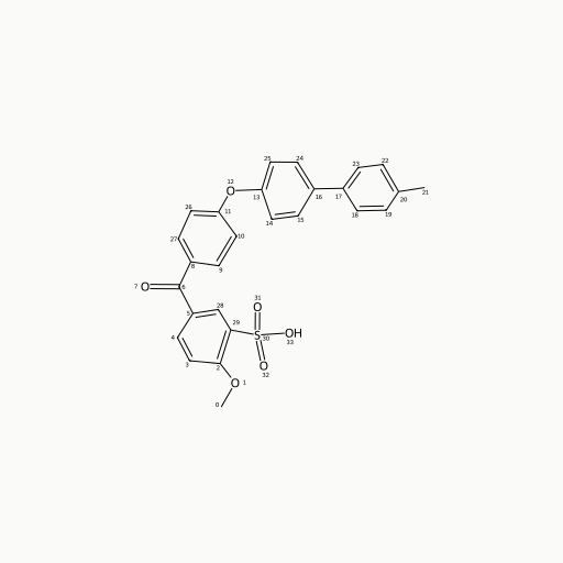 COc1ccc(C(=O)c2ccc(Oc3ccc(-c4ccc(C)cc4)cc3)cc2)cc1S(=O)(=O)O